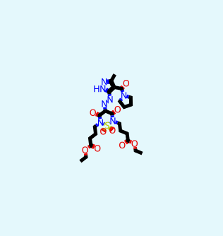 CCOC(=O)CCCN1C(=O)C(N=Nc2[nH]nc(C)c2C(=O)N2CCCC2)C(=O)N(CCCC(=O)OCC)S1(=O)=O